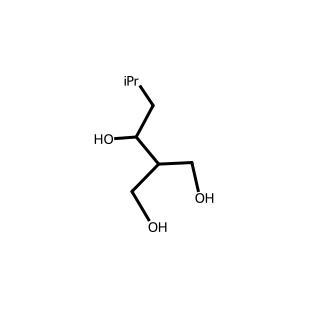 CC(C)CC(O)C(CO)CO